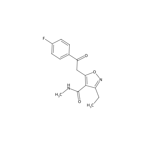 CCc1noc(CC(=O)c2ccc(F)cc2)c1C(=O)NC